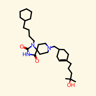 CC(C)(O)CCCC1=CCC(CN2CCC3(CC2)C(=O)NC(=O)N3CCCCC2CCCCC2)CC1